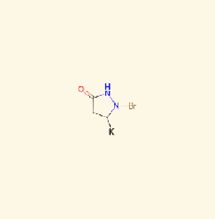 O=C1C[CH]([K])N(Br)N1